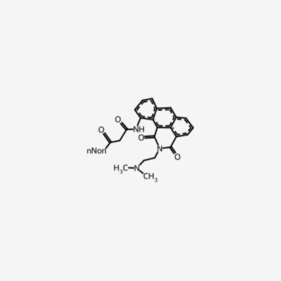 CCCCCCCCCC(=O)CC(=O)Nc1cccc2cc3cccc4c3c(c12)C(=O)N(CCN(C)C)C4=O